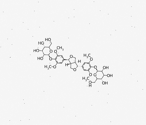 COc1cc([C@H]2OC[C@@H]3[C@@H]2CO[C@H]3c2cc(OC)c(O[C@@H]3OC(CO)[C@@H](O)C(O)C3O)c(OC)c2)cc(OC)c1O[C@@H]1OC(CO)[C@@H](O)C(O)C1O